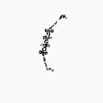 CCCCCCCCCCCCn1c(=O)c2cc3c(=O)n(-c4ccc(-n5c(=O)c6cc7c(=O)n(CCCCCCCCCCCC)c(=O)c7cc6c5=O)cc4)c(=O)c3cc2c1=O